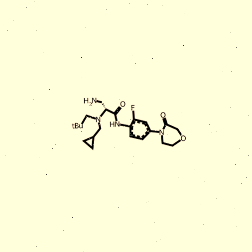 CC(C)(C)CN(CC1CC1)[C@H](CN)C(=O)Nc1ccc(N2CCOCC2=O)cc1F